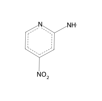 [NH]c1cc([N+](=O)[O-])ccn1